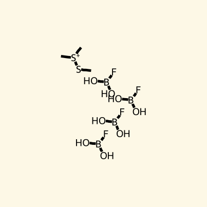 CS[S+](C)C.OB(O)F.OB(O)F.OB(O)F.OB(O)F